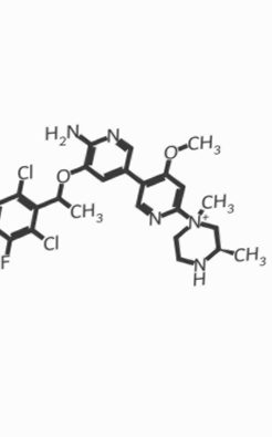 COc1cc([N+]2(C)CCN[C@H](C)C2)ncc1-c1cnc(N)c(OC(C)c2c(Cl)ccc(F)c2Cl)c1